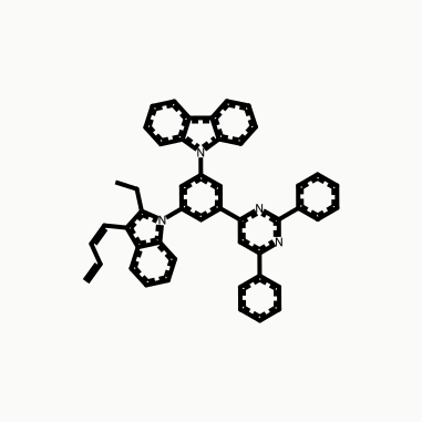 C=C/C=C\c1c(CC)n(-c2cc(-c3cc(-c4ccccc4)nc(-c4ccccc4)n3)cc(-n3c4ccccc4c4ccccc43)c2)c2ccccc12